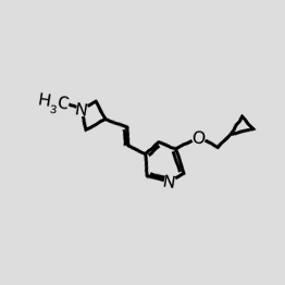 CN1CC(/C=C/c2cncc(OCC3CC3)c2)C1